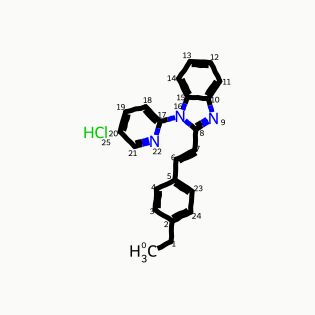 CCc1ccc(/C=C/c2nc3ccccc3n2-c2ccccn2)cc1.Cl